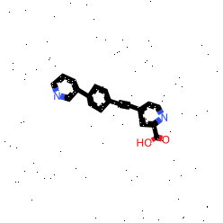 O=C(O)c1cc(C#Cc2ccc(-c3cccnc3)cc2)ccn1